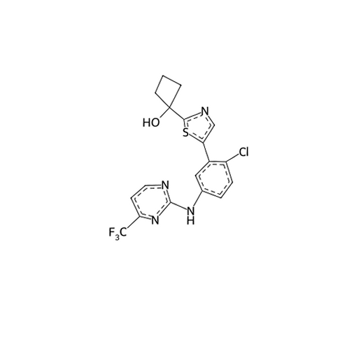 OC1(c2ncc(-c3cc(Nc4nccc(C(F)(F)F)n4)ccc3Cl)s2)CCC1